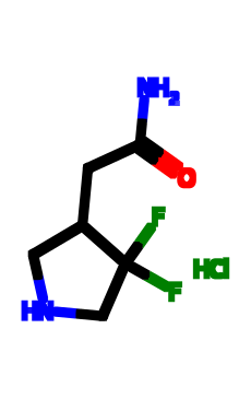 Cl.NC(=O)CC1CNCC1(F)F